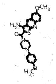 COc1ccc(N2CCN(C(=O)c3sc4nc5ccc(OC)cc5cc4c3N)CC2)cc1